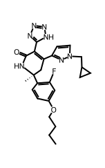 CCCCOc1ccc([C@]2(C)CC(c3ccn(CC4CC4)n3)=C(c3nnn[nH]3)C(=O)N2)c(F)c1